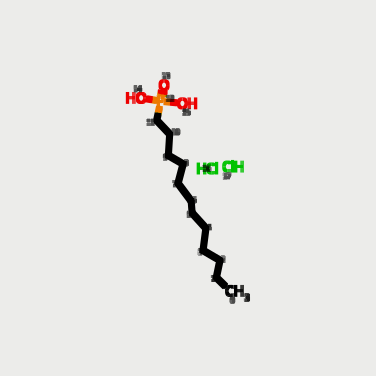 CCCCCCCCCCCCP(=O)(O)O.Cl.Cl